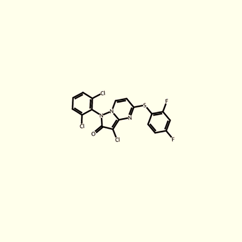 O=c1c(Cl)c2nc(Sc3ccc(F)cc3F)ccn2n1-c1c(Cl)cccc1Cl